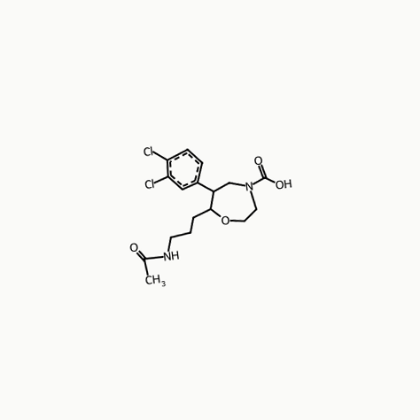 CC(=O)NCCCC1OCCN(C(=O)O)CC1c1ccc(Cl)c(Cl)c1